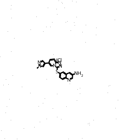 Cl.Cn1cc(-c2ccc3nnc(Sc4ccc5ncc(N)cc5c4)n3c2)cn1